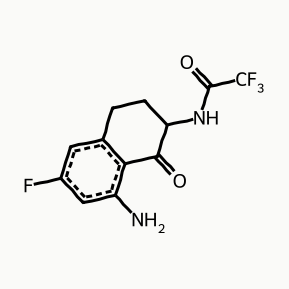 Nc1cc(F)cc2c1C(=O)C(NC(=O)C(F)(F)F)CC2